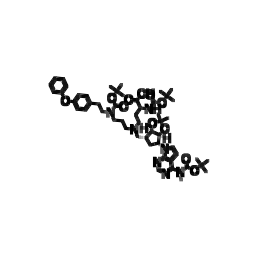 CN(C(=O)OC(C)(C)C)c1ncnc2c1ccn2[C@@H]1C[C@H](CN(CCCN(CCc2ccc(Oc3ccccc3)cc2)C(=O)OC(C)(C)C)CCC(NC(=O)OC(C)(C)C)C(=O)O)[C@H]2OC(C)(C)O[C@H]21